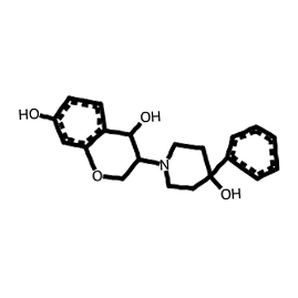 Oc1ccc2c(c1)OCC(N1CCC(O)(c3ccccc3)CC1)C2O